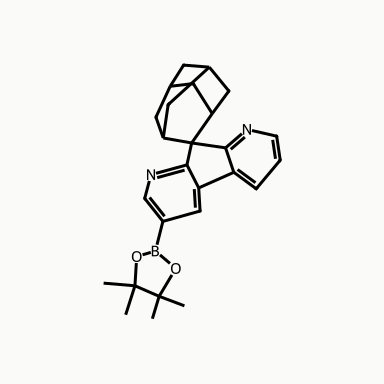 CC1(C)OB(c2cnc3c(c2)-c2cccnc2C32C3CC4CC(C3)CC2C4)OC1(C)C